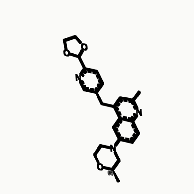 Cc1cc(Cc2ccc(C3OCCO3)nc2)c2cc(N3CCO[C@H](C)C3)ccc2n1